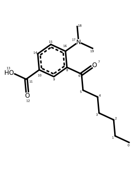 CCCCCCC(=O)c1cc(C(=O)O)ccc1N(C)C